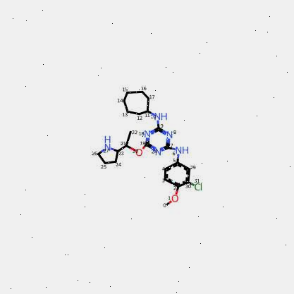 COc1ccc(Nc2nc(NC3CCCCCC3)nc(OC(C)C3CCCN3)n2)cc1Cl